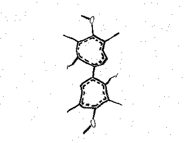 COc1c(C)cc(-c2cc(C)c(OC)c(C)c2I)c(I)c1C